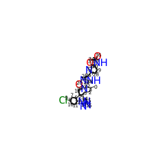 C[C@H]1Cc2cc(-c3cc(Cl)ccc3-n3cnnn3)cc(=O)n2[C@@H]1c1ncc(-c2ccc3c(n2)OCC(=O)N3)[nH]1